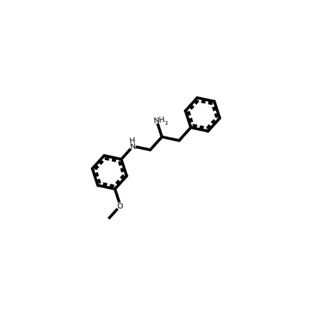 COc1cccc(NCC(N)Cc2ccccc2)c1